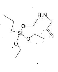 C=CCN.CCC[Si](OCC)(OCC)OCC